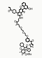 C=CC(=O)N1CCN(c2nc(NCCC(=O)N(C)CCOCCOCCOc3cccc(C(=O)c4csc([C@@H]5CCCN5C(=O)[C@@H](NC(=O)[C@H](C)N(C)C(=O)OC(C)(C)C)C5CCCCC5)n4)c3)nc3c(F)c(-c4cc(O)cc5ccccc45)c(Cl)cc23)CC1